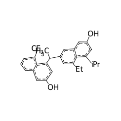 CCc1cc(C(C)c2cc(O)cc3cccc(C(F)(F)F)c23)cc2cc(O)cc(C(C)C)c12